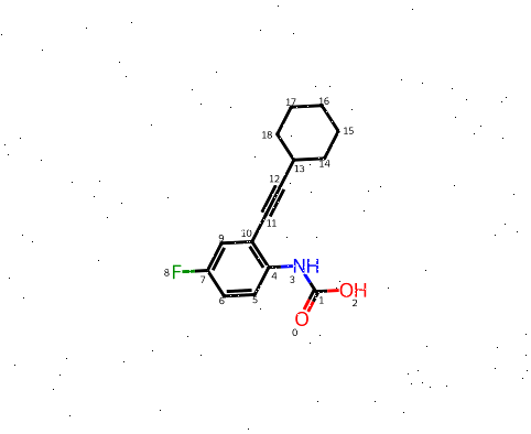 O=C(O)Nc1ccc(F)cc1C#CC1CCCCC1